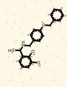 CC(NCc1ccc(OCc2ccccc2)cc1)c1cccc(Cl)c1Cl